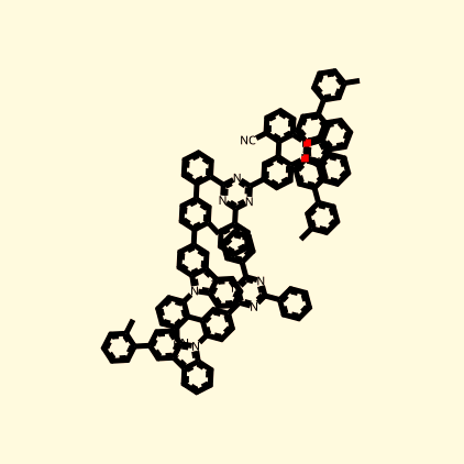 Cc1cccc(-c2ccc3c(c2)c2ccccc2n3-c2ccc(-c3nc(-c4ccccc4)nc(-c4ccccc4-c4ccc(-c5ccc6c(c5)c5ccccc5n6-c5cccc(C#N)c5-c5cc(-c6nc(-c7ccccc7)nc(-c7ccccc7)n6)ccc5-n5c6ccccc6c6cc(-c7ccccc7C)ccc65)c(C)c4)n3)cc2-c2c(C#N)cccc2-n2c3ccccc3c3cc(-c4cccc(C)c4)ccc32)c1